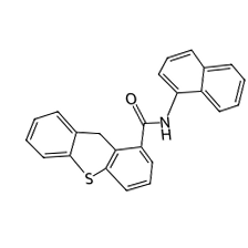 O=C(Nc1cccc2ccccc12)c1cccc2c1Cc1ccccc1S2